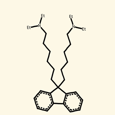 CCN(CC)CCCCCCC1(CCCCCCN(CC)CC)c2ccccc2-c2ccccc21